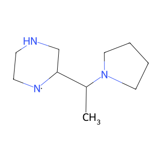 CC(C1CNCC[N]1)N1CCCC1